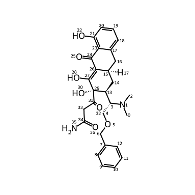 CN(C)[C@H](COCc1ccccc1)[C@@H]1C[C@@H]2Cc3cccc(O)c3C(=O)C2=C(O)[C@]1(O)C(=O)CC(N)=O